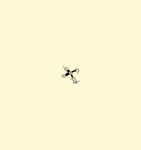 CCS(=O)(=O)Cl.F